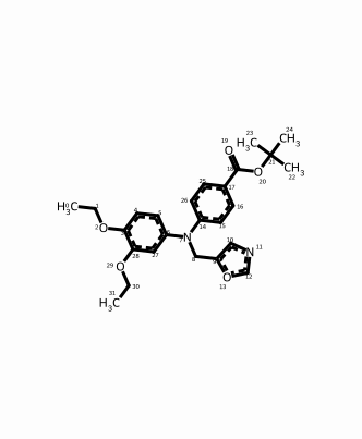 CCOc1ccc(N(Cc2cnco2)c2ccc(C(=O)OC(C)(C)C)cc2)cc1OCC